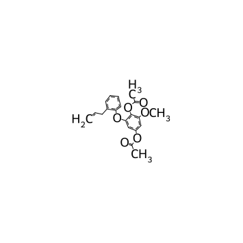 C=CCc1ccccc1Oc1cc(OC(C)=O)cc(OC)c1OC(C)=O